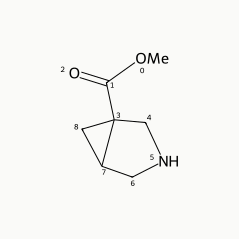 COC(=O)C12CNCC1C2